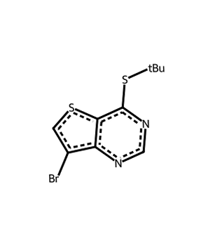 CC(C)(C)Sc1ncnc2c(Br)csc12